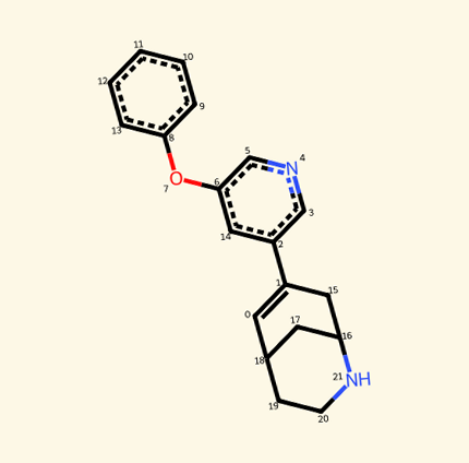 C1=C(c2cncc(Oc3ccccc3)c2)CC2CC1CCN2